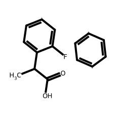 CC(C(=O)O)c1cc[c]cc1F.[c]1cc[c]cc1